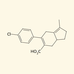 CC1=C2CC(c3ccc(Cl)cc3)=C(C(=O)O)CC2CC1